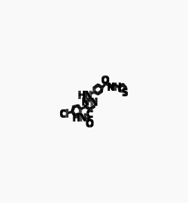 O=C1Cc2cnc(Nc3ccc(C(=O)NCc4ccsc4)cc3)nc2-c2ccc(Cl)cc2N1